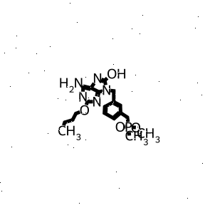 CCCCOc1nc(N)c2nc(O)n(Cc3cccc(CP(C)(=O)OC)c3)c2n1